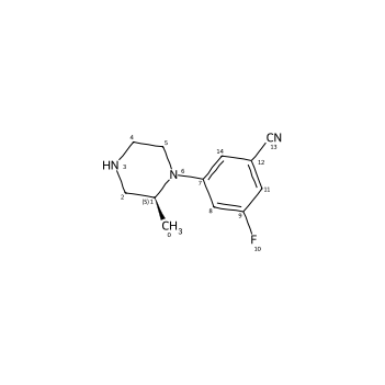 C[C@H]1CNCCN1c1cc(F)cc(C#N)c1